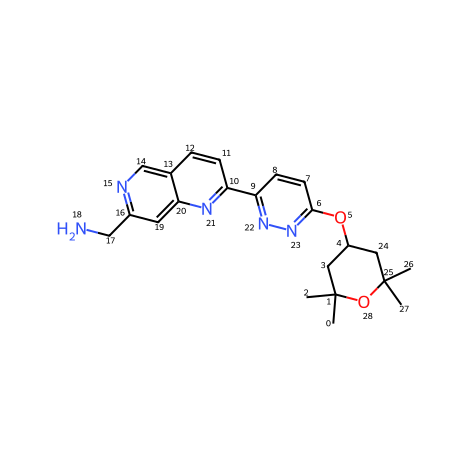 CC1(C)CC(Oc2ccc(-c3ccc4cnc(CN)cc4n3)nn2)CC(C)(C)O1